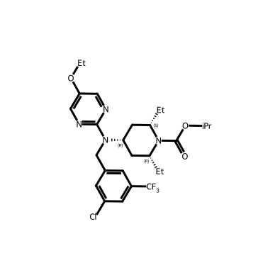 CCOc1cnc(N(Cc2cc(Cl)cc(C(F)(F)F)c2)[C@H]2C[C@@H](CC)N(C(=O)OC(C)C)[C@@H](CC)C2)nc1